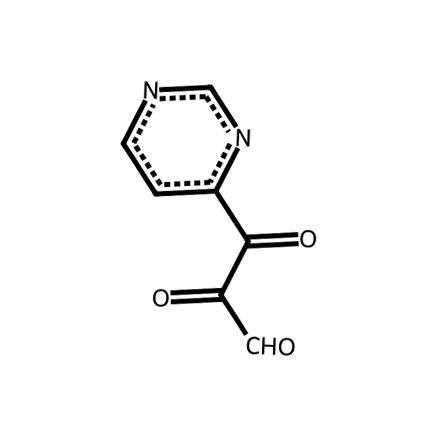 O=CC(=O)C(=O)c1ccncn1